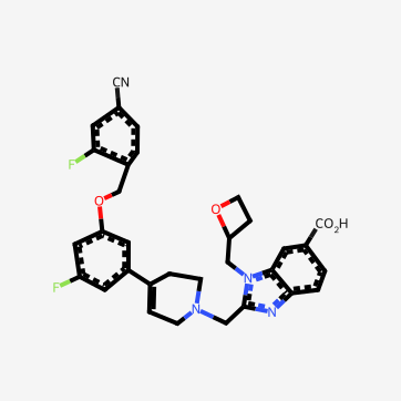 N#Cc1ccc(COc2cc(F)cc(C3=CCN(Cc4nc5ccc(C(=O)O)cc5n4CC4CCO4)CC3)c2)c(F)c1